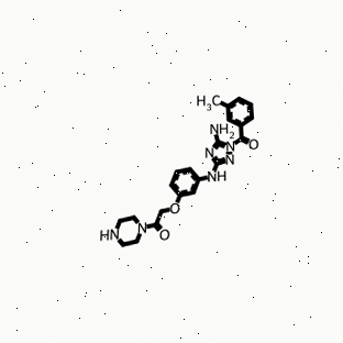 Cc1cccc(C(=O)n2nc(Nc3cccc(OCC(=O)N4CCNCC4)c3)nc2N)c1